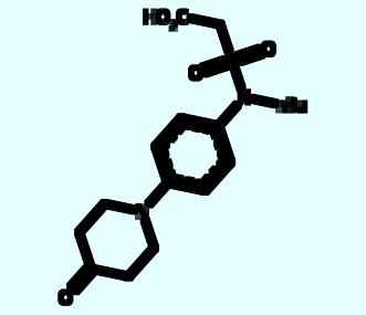 CCCCN(c1ccc(N2CCC(=O)CC2)cc1)S(=O)(=O)CC(=O)O